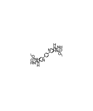 CCOC(=O)NC(=N)Nc1ccc(-c2ccc(-c3ccc(NC(=N)NC(=O)OCC)cn3)cc2)nc1